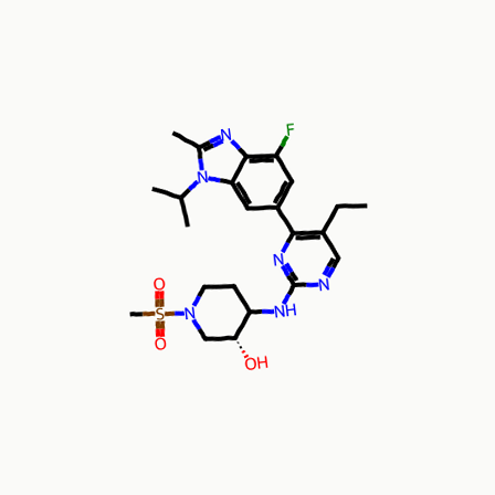 CCc1cnc(NC2CCN(S(C)(=O)=O)C[C@H]2O)nc1-c1cc(F)c2nc(C)n(C(C)C)c2c1